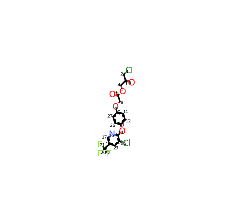 O=C(CCl)COC(=O)COc1ccc(Oc2ncc(C(F)(F)F)cc2Cl)cc1